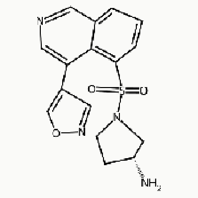 N[C@@H]1CCN(S(=O)(=O)c2cccc3cncc(-c4cnoc4)c23)C1